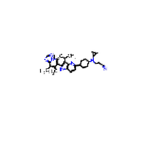 Cc1c(-c2[nH]c3ccc(C4CCC(N(CCC#N)C5CC5)CC4)nc3c2C(C)C)cn2ncnc2c1C